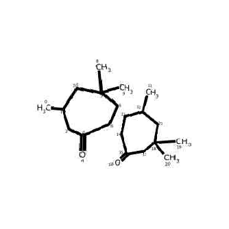 CC1CC(=O)CCC(C)(C)C1.CC1CCC(=O)CC(C)(C)C1